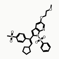 COCCOc1cnc2c(c1)cc(/C(=C/C1CCCC1)c1ccc(S(C)(=O)=O)cc1)n2S(=O)(=O)c1ccccc1